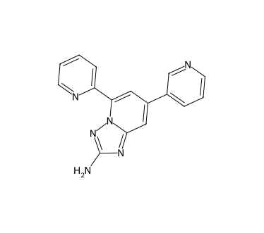 Nc1nc2cc(-c3cccnc3)cc(-c3ccccn3)n2n1